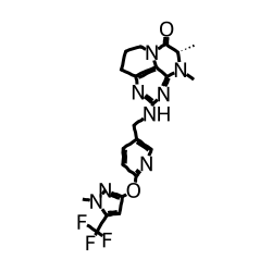 C[C@H]1C(=O)N2CCCc3nc(NCc4ccc(Oc5cc(C(F)(F)F)n(C)n5)nc4)nc(c32)N1C